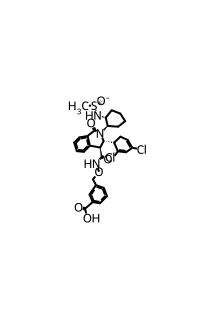 C[S+]([O-])N[C@@H]1CCCC[C@H]1N1C(=O)c2ccccc2[C@H](C(=O)NOCc2cccc(C(=O)O)c2)[C@H]1C1CC=C(Cl)C=C1Cl